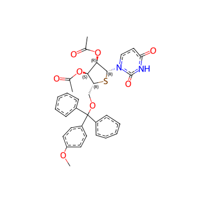 COc1ccc(C(OC[C@H]2S[C@@H](n3ccc(=O)[nH]c3=O)[C@H](OC(C)=O)[C@@H]2OC(C)=O)(c2ccccc2)c2ccccc2)cc1